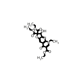 CCOC(=O)c1cn(CC)c2nc3c(cc2c1=O)OC(C(=O)OCC)(C(=O)OCC)C3O